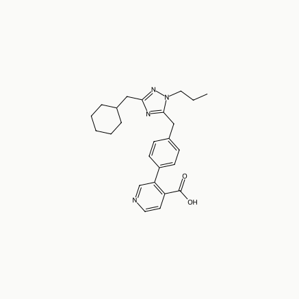 CCCn1nc(CC2CCCCC2)nc1Cc1ccc(-c2cnccc2C(=O)O)cc1